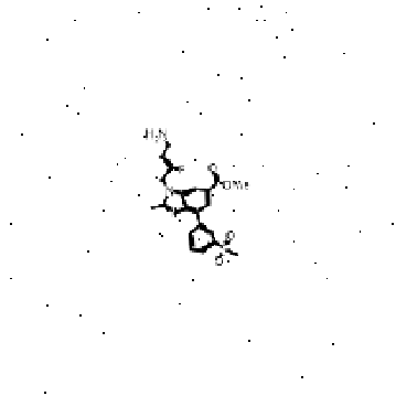 COC(=O)c1cc(-c2cccc(S(C)(=O)=O)c2)c2nc(C)n(CC(F)=CCN)c2c1